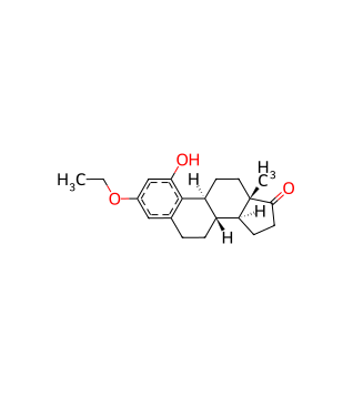 CCOc1cc(O)c2c(c1)CC[C@@H]1[C@@H]2CC[C@]2(C)C(=O)CC[C@@H]12